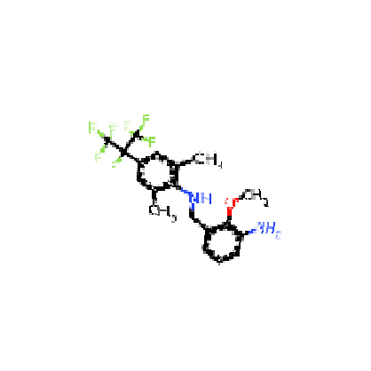 COc1c(N)cccc1CNc1c(C)cc(C(F)(C(F)(F)F)C(F)(F)F)cc1C